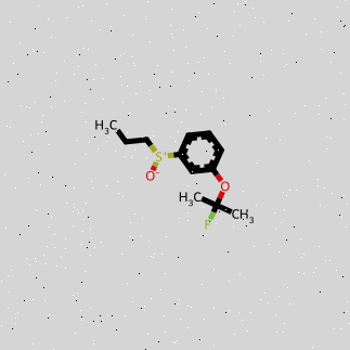 CCC[S+]([O-])c1cccc(OC(C)(C)F)c1